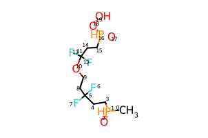 C[PH](=O)CCC(F)(F)CCOC(F)(F)CC[PH](=O)OO